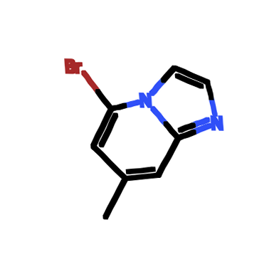 Cc1cc(Br)n2ccnc2c1